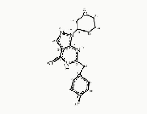 O=c1[nH]c(Cc2ccc(F)cc2)nc2c1cnn2C1CCCOC1